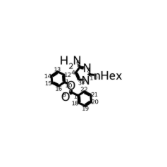 CCCCCCc1nccc(N)n1.O=C(Oc1ccccc1)c1ccccc1